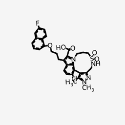 Cc1c2c(nn1C)CNS(=O)(=O)CCCn1c(C(=O)O)c(CCCOc3cccc4cc(F)ccc34)c3ccc(Cl)c-2c31